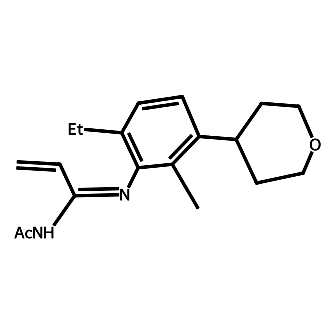 C=C/C(=N\c1c(CC)ccc(C2CCOCC2)c1C)NC(C)=O